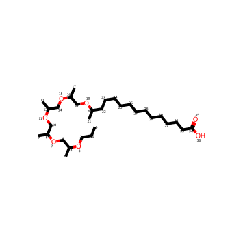 C[CH]COC(C)COC(C)COC(C)COC(C)COC(C)CCCCCCCCCCCCC(=O)O